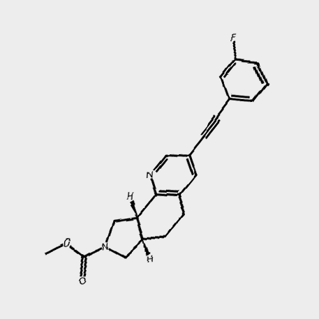 COC(=O)N1C[C@H]2CCc3cc(C#Cc4cccc(F)c4)cnc3[C@H]2C1